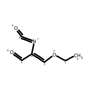 CCOC=C(C=O)N=C=O